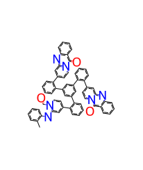 Cc1ccccc1/N=c1/cc(-c2ccccc2-c2cc(-c3ccccc3-c3ccn4c(=O)c5ccccc5nc4c3)cc(-c3ccccc3-c3ccn4c(=O)c5ccccc5nc4c3)c2)ccn1C=O